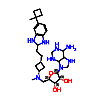 CN(C[C@H]1O[C@@H](N2CNC3C(N)NCNC32)[C@H](O)[C@@H]1O)[C@H]1C[C@H](CCC2Nc3ccc(C4(C)CCC4)cc3N2)C1